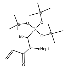 C=CC(=O)N(CCCCCCC)C(CC)[Si](O[Si](C)(C)C)(O[Si](C)(C)C)O[Si](C)(C)C